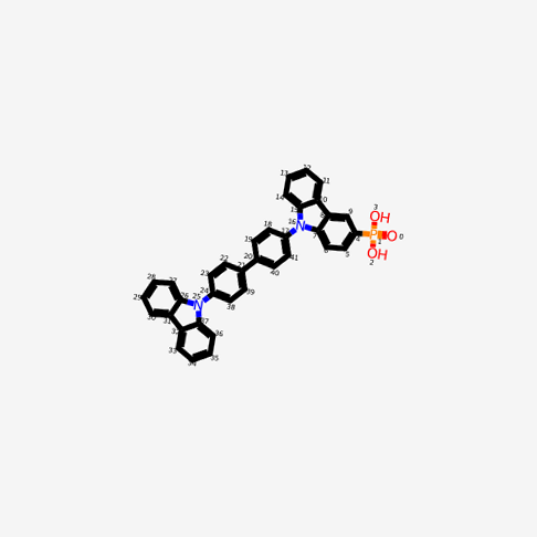 O=P(O)(O)c1ccc2c(c1)c1ccccc1n2-c1ccc(-c2ccc(-n3c4ccccc4c4ccccc43)cc2)cc1